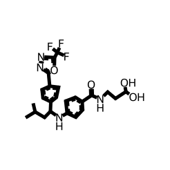 CC(C)CC(Nc1ccc(C(=O)NCCC(O)O)cc1)c1ccc(-c2nnc(C(F)(F)F)o2)cc1